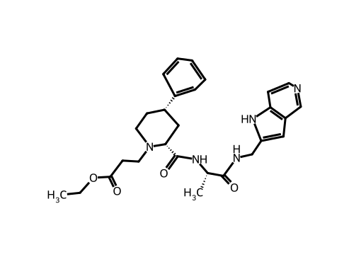 CCOC(=O)CCN1CC[C@H](c2ccccc2)C[C@@H]1C(=O)N[C@@H](C)C(=O)NCc1cc2cnccc2[nH]1